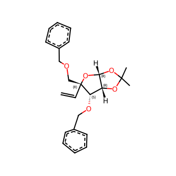 C=C[C@]1(COCc2ccccc2)O[C@@H]2OC(C)(C)O[C@@H]2[C@@H]1OCc1ccccc1